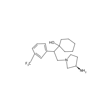 N[C@@H]1CCN(CC(c2cccc(C(F)(F)F)c2)C2(O)CCCCC2)C1